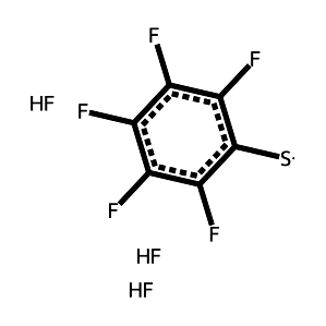 F.F.F.Fc1c(F)c(F)c([S])c(F)c1F